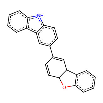 C1=CC2Oc3ccccc3C2C=C1c1ccc2[nH]c3ccccc3c2c1